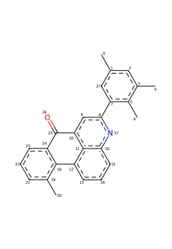 Cc1cc(C)c(C)c(-c2cc3c4c(cccc4n2)-c2c(C)cccc2C3=O)c1